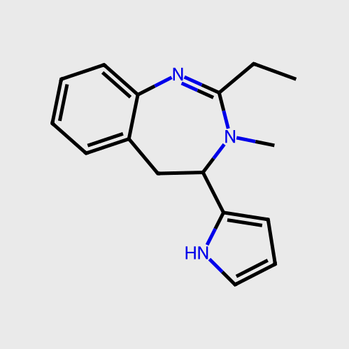 CCC1=Nc2ccccc2CC(c2ccc[nH]2)N1C